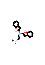 C=CCN(c1cc2ccccc2o1)c1cc2ccccc2o1